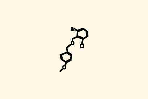 COc1ccc(COCc2c(Cl)cccc2Br)cc1